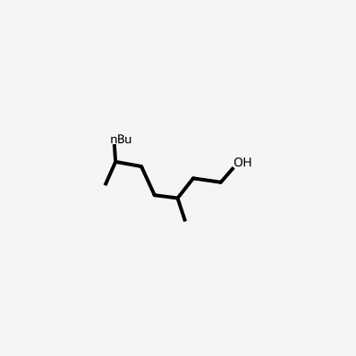 CCCCC(C)CCC(C)CCO